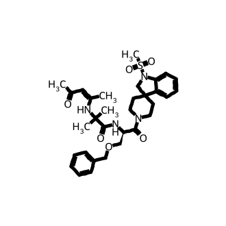 CC(=O)/C=C(/C)NC(C)(C)C(=O)N[C@H](COCc1ccccc1)C(=O)N1CCC2(CC1)CN(S(C)(=O)=O)c1ccccc12